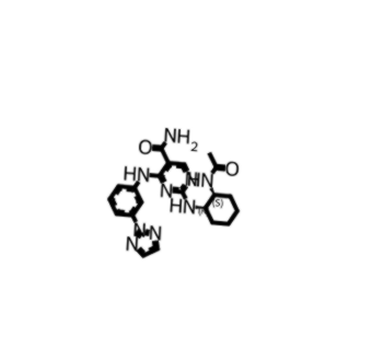 CC(=O)N[C@H]1CCCC[C@H]1Nc1ncc(C(N)=O)c(Nc2cccc(-n3nccn3)c2)n1